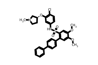 COc1cc(-c2ccc(-c3ccccc3)cc2)c(S(=O)(=O)Nc2ccc(Cl)c(O[C@@H]3CCN(C)C3)c2)cc1OC